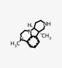 CN1CCN2c3c1cccc3[C@]1(C)CNCC[C@H]21